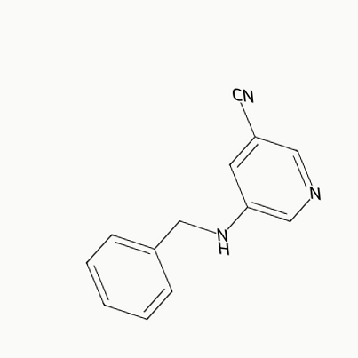 N#Cc1cncc(NCc2ccccc2)c1